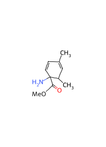 COC(=O)C1(N)C=CC(C)=CC1C